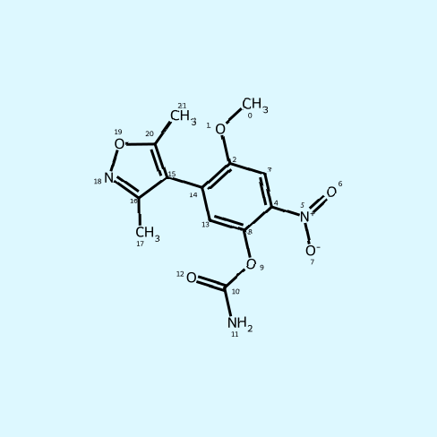 COc1cc([N+](=O)[O-])c(OC(N)=O)cc1-c1c(C)noc1C